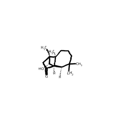 CC1(C)CCC[C@@]2(C)[C@@H]3C(=O)C[C@@]2(C)[C@@H](O)[C@@H]31